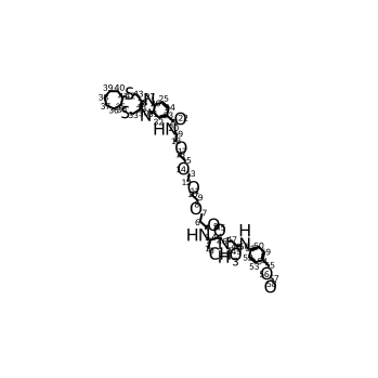 CCC(NC(=O)CCOCCOCCOCCOCCNC(=O)c1ccc2nc3c(nc2c1)CSC1CCCCCC1SC3)C(=O)NCC(=O)Nc1ccc(COC=O)cc1